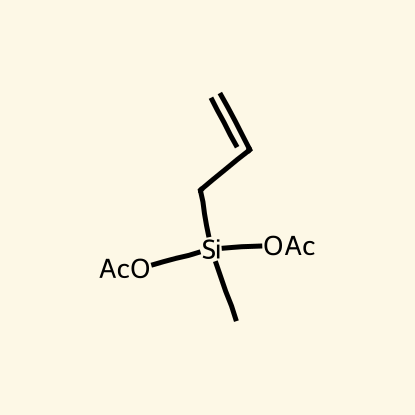 C=CC[Si](C)(OC(C)=O)OC(C)=O